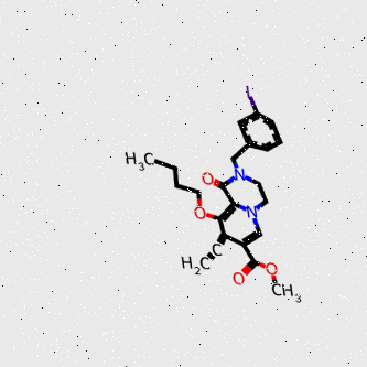 C=C=C1C(C(=O)OC)=CN2CCN(Cc3cccc(I)c3)C(=O)C2=C1OCCCC